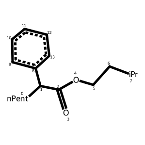 CCCCCC(C(=O)OCCC(C)C)c1ccccc1